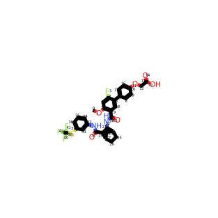 COc1cc(F)c(-c2ccc(OCC(=O)O)cc2)cc1C(=O)NC1C2CCC(C2)C1C(=O)Nc1cccc(SC(F)(F)F)c1